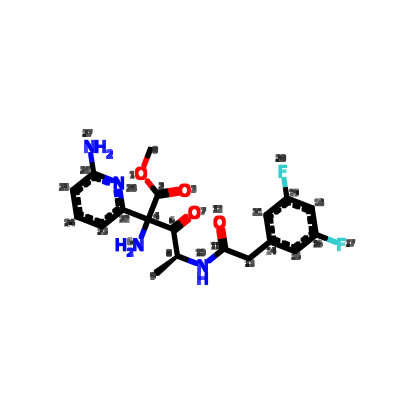 COC(=O)C(N)(C(=O)[C@H](C)NC(=O)Cc1cc(F)cc(F)c1)c1cccc(N)n1